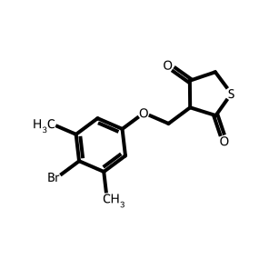 Cc1cc(OCC2C(=O)CSC2=O)cc(C)c1Br